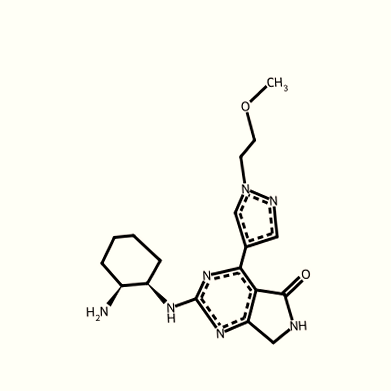 COCCn1cc(-c2nc(N[C@@H]3CCCC[C@@H]3N)nc3c2C(=O)NC3)cn1